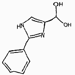 OC(O)c1c[nH]c(-c2ccccc2)n1